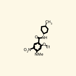 CCOc1cc(NC)c([N+](=O)[O-])cc1C(=O)N[C@H]1CC[C@H](C)CC1